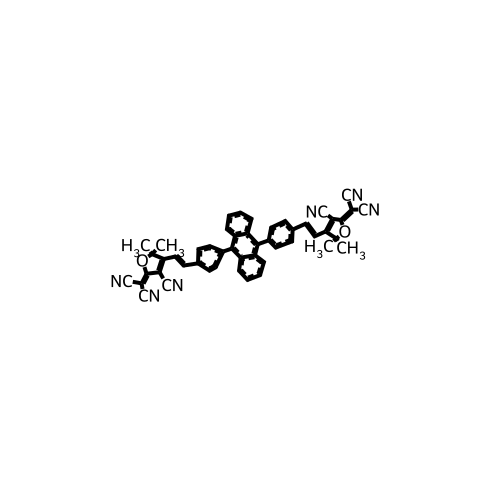 CC1(C)OC(=C(C#N)C#N)C(C#N)=C1/C=C/c1ccc(-c2c3ccccc3c(-c3ccc(/C=C/C4=C(C#N)C(=C(C#N)C#N)OC4(C)C)cc3)c3ccccc23)cc1